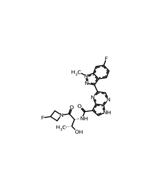 C[C@@H](O)[C@@H](NC(=O)c1c[nH]c2ncc(-c3nn(C)c4cc(F)ccc34)nc12)C(=O)N1CC(F)C1